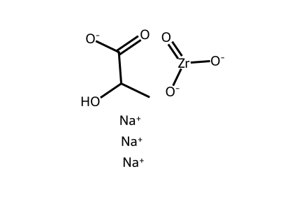 CC(O)C(=O)[O-].[Na+].[Na+].[Na+].[O]=[Zr]([O-])[O-]